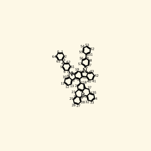 c1ccc(-c2ccc(-n3c4ccccc4c4c(-c5cc6c7c(c5)Cc5ccccc5B7c5ccccc5C6)c5c6ccccc6n(-c6ccc(-c7ccccc7)cc6)c5cc43)cc2)cc1